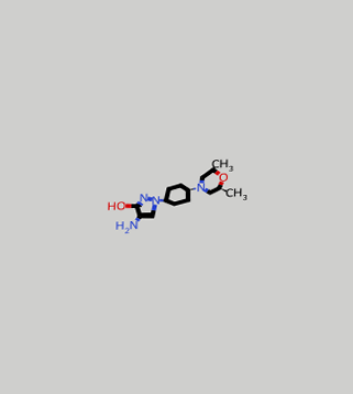 C[C@@H]1CN([C@H]2CC[C@H](n3cc(N)c(O)n3)CC2)C[C@H](C)O1